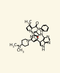 Cc1ccn2nc(C(C)Nc3ncnc4[nH]cc(-c5ccnc(N6CCC(N(C)C)CC6)c5)c34)n(-c3ccccc3)c(=O)c12